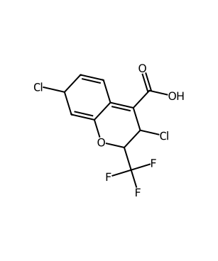 O=C(O)C1=C2C=CC(Cl)C=C2OC(C(F)(F)F)C1Cl